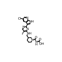 O=C(O)NC(=O)N1CCCC(CNc2nc(-c3c[nH]c4ncc(Cl)cc34)ncc2F)C1